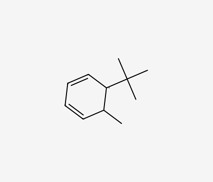 CC1C=CC=C[C]1C(C)(C)C